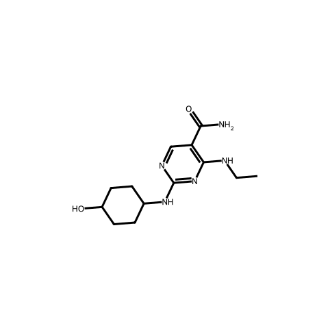 CCNc1nc(NC2CCC(O)CC2)ncc1C(N)=O